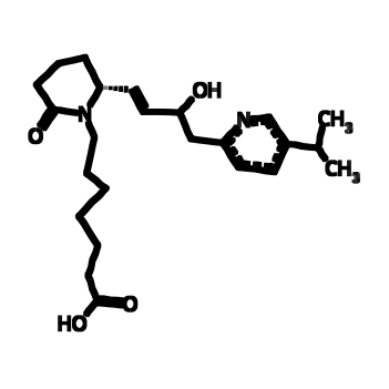 CC(C)c1ccc(CC(O)/C=C/[C@H]2CCCC(=O)N2CCCCCCC(=O)O)nc1